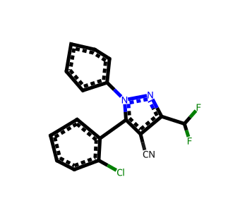 N#Cc1c(C(F)F)nn(-c2ccccc2)c1-c1ccccc1Cl